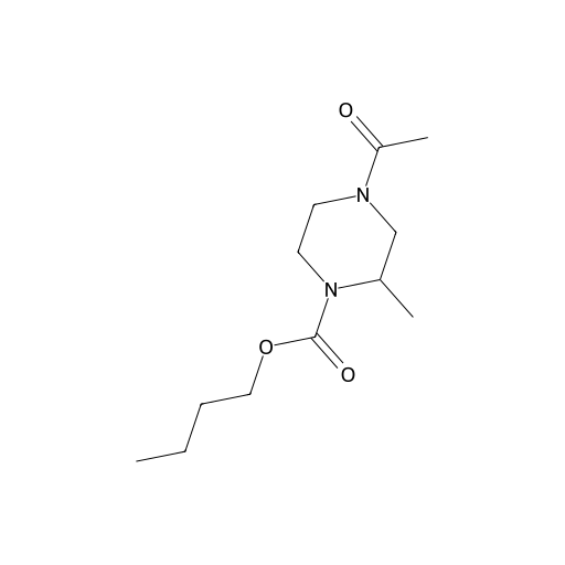 CCCCOC(=O)N1CCN(C(C)=O)CC1C